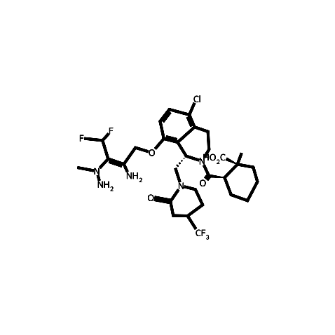 CN(N)/C(=C(\N)COc1ccc(Cl)c2c1[C@@H](CN1CCC(C(F)(F)F)CC1=O)N(C(=O)[C@@H]1CCCC[C@]1(C)C(=O)O)CC2)C(F)F